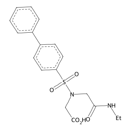 CCNC(=O)CN(CC(=O)O)S(=O)(=O)c1ccc(-c2ccccc2)cc1